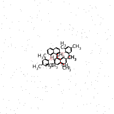 Cc1cc(C)c(B(c2ccc3cccc(B(c4c(C)cc(C)cc4C)c4c(C)cc(C)cc4C)c3c2)c2c(C)cc(C)cc2C)c(C)c1